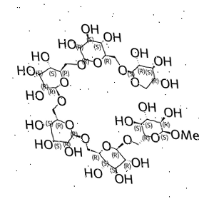 CO[C@H]1O[C@H](CO[C@@H]2O[C@H](CO[C@@H]3O[C@H](CO[C@@H]4O[C@H](CO[C@@H]5O[C@H](CO[C@@H]6OC[C@@H](O)[C@H](O)[C@H]6O)[C@@H](O)[C@H](O)[C@H]5O)[C@@H](O)[C@H](O)[C@H]4O)[C@@H](O)[C@H](O)[C@H]3O)[C@@H](O)[C@H](O)[C@H]2O)[C@@H](O)[C@H](O)[C@H]1O